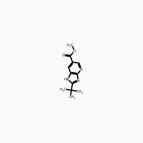 COC(=O)c1cnc2c(c1)BC(C(C)(C)C)=N2